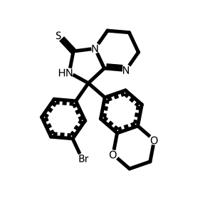 S=C1NC(c2cccc(Br)c2)(c2ccc3c(c2)OCCO3)C2=NCCCN12